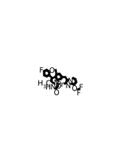 CC(=C1c2ccc(Cc3c(C(C)C)nc4c(OC(F)F)cccn34)cc2COc2cc(F)ccc21)c1noc(=O)[nH]1